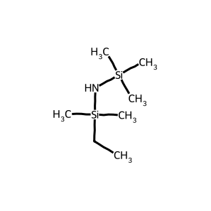 CC[Si](C)(C)N[Si](C)(C)C